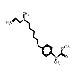 C=CCN(C)CCCCCOc1ccc(N(C)C(=O)OC(C)(C)C)cc1